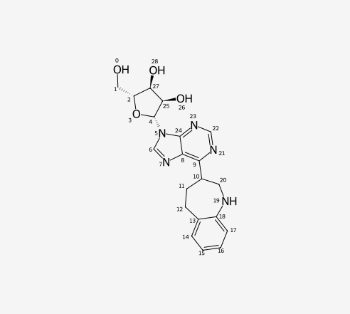 OC[C@H]1O[C@@H](n2cnc3c(C4CCc5ccccc5NC4)ncnc32)[C@H](O)[C@@H]1O